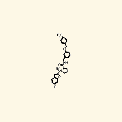 O=C(NCc1cccc(OCc2ccc(C(F)(F)F)cc2)c1)[C@@H]1CCCN1[S+]([O-])c1cc2ccc(F)cc2o1